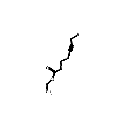 CCOC(=O)CCCC#CCBr